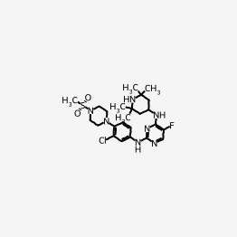 CC1(C)CC(Nc2nc(Nc3ccc(N4CCN(S(C)(=O)=O)CC4)c(Cl)c3)ncc2F)CC(C)(C)N1